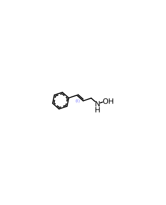 ONC/C=C/c1ccccc1